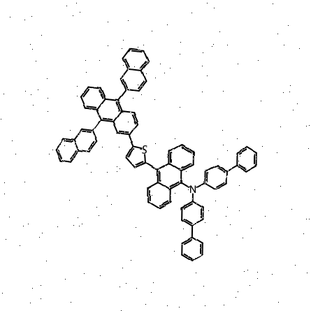 c1ccc(-c2ccc(N(c3ccc(-c4ccccc4)cc3)c3c4ccccc4c(-c4ccc(-c5ccc6c(-c7ccc8ccccc8c7)c7ccccc7c(-c7ccc8ccccc8c7)c6c5)s4)c4ccccc34)cc2)cc1